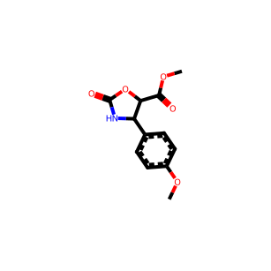 COC(=O)C1OC(=O)NC1c1ccc(OC)cc1